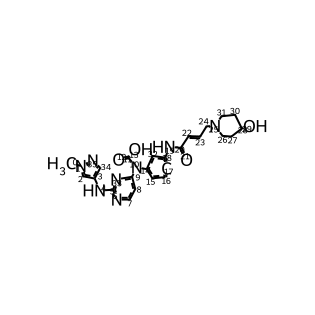 Cn1cc(Nc2nccc(N(C(=O)O)c3cccc(NC(=O)C=CCN4CCC(O)CC4)c3)n2)cn1